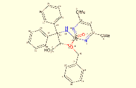 COc1cc(OC)nc(OC(C(=O)O)C(NC(=O)OCc2ccccc2)(c2ccccc2)c2ccccc2)n1